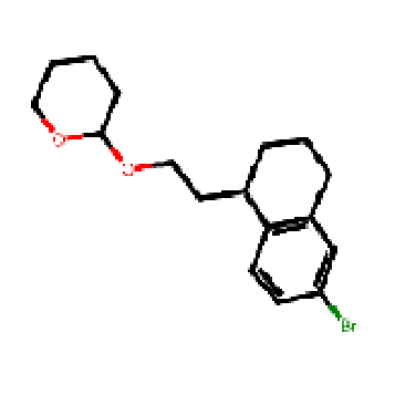 Brc1ccc2c(c1)CCCC2CCOC1CCCCO1